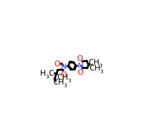 CCC(C)(C)CC(=O)N(C=O)c1ccc(N2C(=O)CC(C)(C)CC2=O)cc1